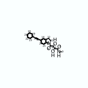 CNC(=O)[C@H](O)[C@@H](O)C(=O)N1CCc2cc(C#Cc3ccccc3)ccc21